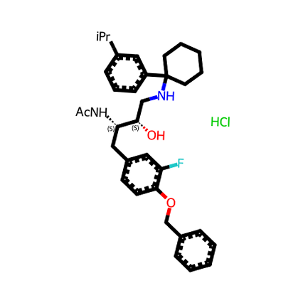 CC(=O)N[C@@H](Cc1ccc(OCc2ccccc2)c(F)c1)[C@@H](O)CNC1(c2cccc(C(C)C)c2)CCCCC1.Cl